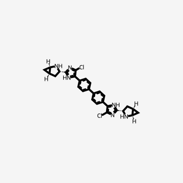 Clc1nc([C@@H]2C[C@H]3C[C@H]3N2)[nH]c1-c1ccc(-c2ccc(-c3[nH]c([C@@H]4C[C@H]5C[C@H]5N4)nc3Cl)cc2)cc1